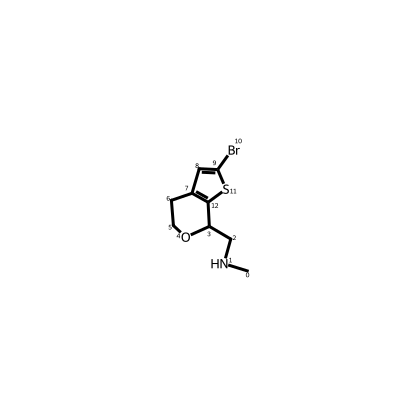 CNCC1OCCc2cc(Br)sc21